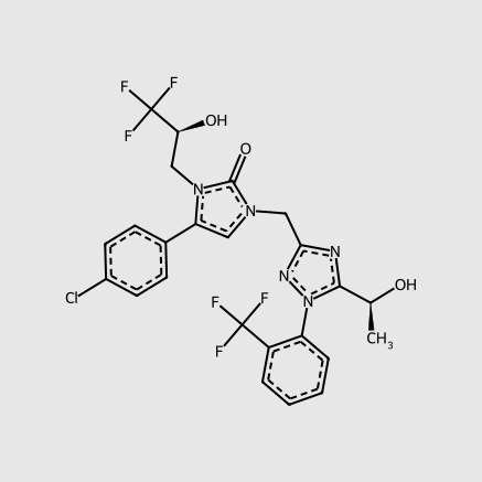 C[C@H](O)c1nc(Cn2cc(-c3ccc(Cl)cc3)n(C[C@H](O)C(F)(F)F)c2=O)nn1-c1ccccc1C(F)(F)F